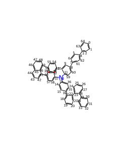 c1ccc(-c2ccc(-c3ccc(N(c4ccc(-c5ccccc5-c5ccccc5-c5ccccc5)cc4)c4ccc(-c5cccc6cccc(-c7ccccc7)c56)cc4)cc3)cc2)cc1